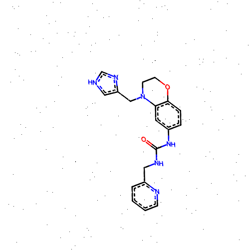 O=C(NCc1ccccn1)Nc1ccc2c(c1)N(Cc1c[nH]cn1)CCO2